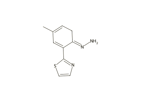 CC1=CCC(=NN)C(c2nccs2)=C1